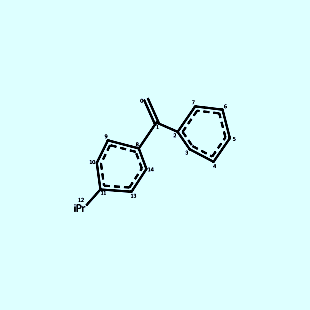 C=C(c1ccccc1)c1ccc(C(C)C)cc1